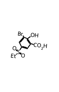 CCS(=O)(=O)c1cc(Br)c(O)c(C(=O)O)c1